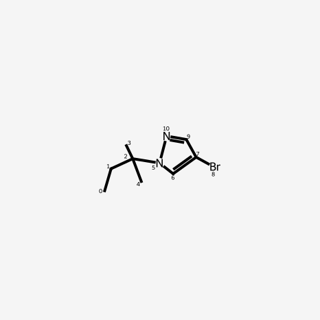 CCC(C)(C)n1cc(Br)cn1